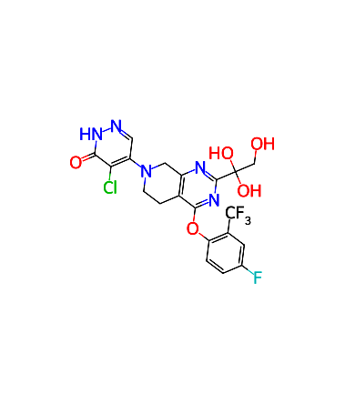 O=c1[nH]ncc(N2CCc3c(nc(C(O)(O)CO)nc3Oc3ccc(F)cc3C(F)(F)F)C2)c1Cl